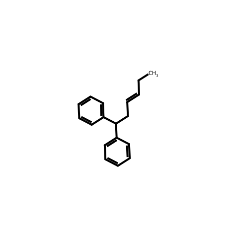 CCC=CCC(c1ccccc1)c1ccccc1